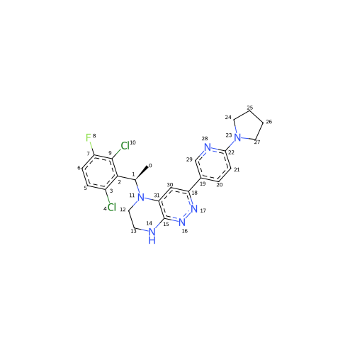 C[C@H](c1c(Cl)ccc(F)c1Cl)N1CCNc2nnc(-c3ccc(N4CCCC4)nc3)cc21